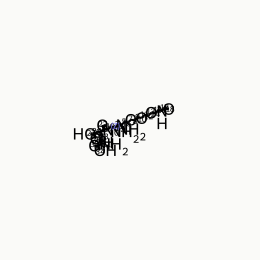 N/C(=C\N(N)CCOCCOCCOCCNC=O)CNC(=O)C(CC(=O)O)SCC(N)C(=O)O